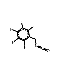 O=C=NCc1c(F)c(F)c(F)c(F)c1F